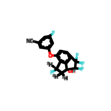 [2H]C1([2H])[C@@]2(O)c3c(ccc(Oc4cc(F)cc(C#N)c4)c3[C@@]1([2H])F)C(F)(F)C2(F)F